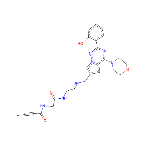 CC#CC(=O)NCC(=O)NCCNCc1cc2c(N3CCOCC3)nc(-c3ccccc3O)nn2c1